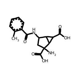 Cc1ccccc1C(=O)NC1CC(N)(C(=O)O)C2C(C(=O)O)C12